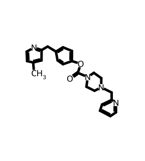 Cc1ccnc(Cc2ccc(OC(=O)N3CCN(Cc4ccccn4)CC3)cc2)c1